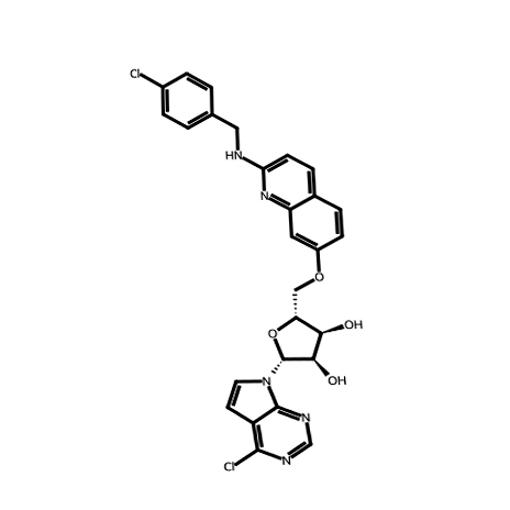 O[C@@H]1[C@H](O)[C@@H](COc2ccc3ccc(NCc4ccc(Cl)cc4)nc3c2)O[C@H]1n1ccc2c(Cl)ncnc21